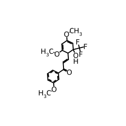 COC1=CC(O)(C(F)(F)F)C(C=CC(=O)c2cccc(OC)c2)C(OC)=C1